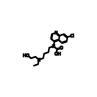 CCN(CCO)CCCCN(C(=O)O)c1ccnc2cc(Cl)ccc12